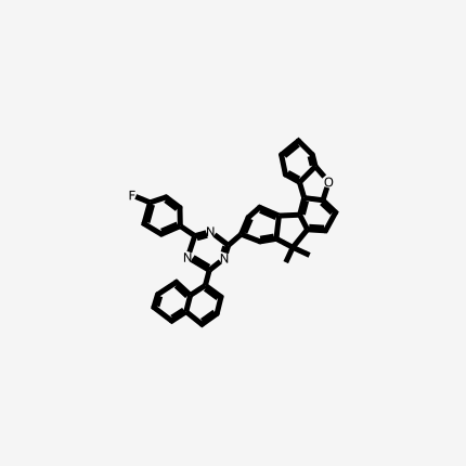 CC1(C)c2cc(-c3nc(-c4ccc(F)cc4)nc(-c4cccc5ccccc45)n3)ccc2-c2c1ccc1oc3ccccc3c21